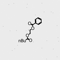 CCCCC(=O)OC[CH]OC(=O)c1ccccc1